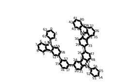 c1ccc(-n2c3ccccc3c3cc(-c4cccc(-c5ccc6c(c5)c5cc(-c7ccc8c(c7)c7cccc9c%10ccccc%10n8c97)ccc5n6-c5ccccc5)c4)ccc32)cc1